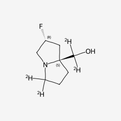 [2H]C1([2H])CC[C@@]2(C([2H])([2H])O)C[C@@H](F)CN12